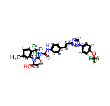 Cc1ccc(C(F)(F)F)c(N2/C(=N/C(=O)Nc3ccc(/C=C/c4ncn(-c5ccc(OC(F)(F)F)cc5)n4)cc3)SCC2O)c1